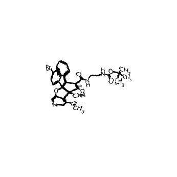 COc1cncc2c1C1(O)[C@H](O)C(C(=O)NCCNC(=O)OC(C)(C)C)C(c3ccccc3)C1(c1ccc(Br)cc1)O2